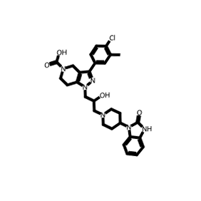 Cc1cc(-c2nn(CC(O)CN3CCC(n4c(=O)[nH]c5ccccc54)CC3)c3c2CN(C(=O)O)CC3)ccc1Cl